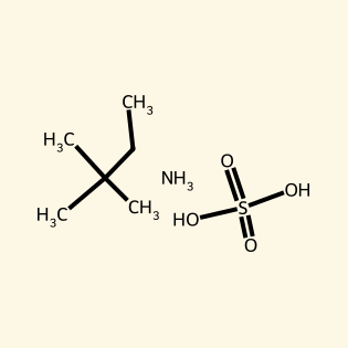 CCC(C)(C)C.N.O=S(=O)(O)O